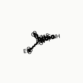 CCS(=O)(=O)OCCCCCCCOc1nc(N2CCS(=O)(=O)CC2)cc2c(N[C@H](C)c3cccc(C(F)(F)C4CCNCC4)c3F)nn(C)c(=O)c12